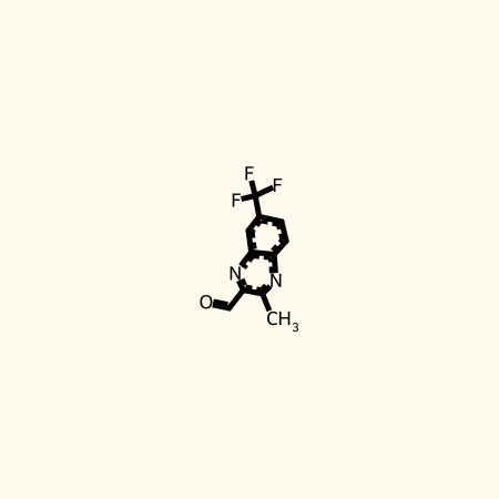 Cc1nc2ccc(C(F)(F)F)cc2nc1C=O